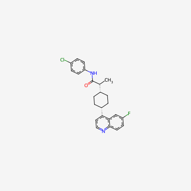 CC(C(=O)Nc1ccc(Cl)cc1)[C@H]1CC[C@@H](c2ccnc3ccc(F)cc32)CC1